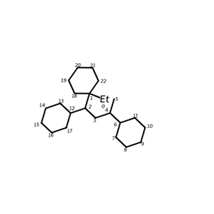 CCC1(C(CC(C)C2CCCCC2)C2CCCCC2)CCCCC1